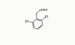 [CH2]CCCCCCc1c(CC)cccc1CC